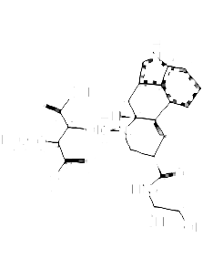 C[C@@H](CO)NC(=O)[C@@H]1C=C2c3cccc4[nH]cc(c34)C[C@H]2N(C)C1.O.O=C(O)C(O)C(O)C(=O)O